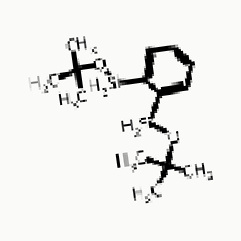 CC(C)(C)O[SiH2]c1ccccc1[SiH2]OC(C)(C)C